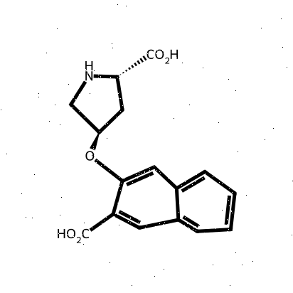 O=C(O)c1cc2ccccc2cc1O[C@H]1CN[C@H](C(=O)O)C1